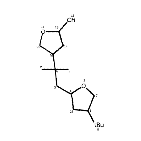 CC(C)(C)C1COC(CC(C)(C)C2COC(O)C2)C1